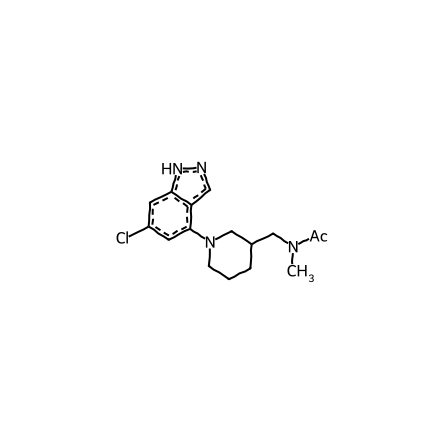 CC(=O)N(C)CC1CCCN(c2cc(Cl)cc3[nH]ncc23)C1